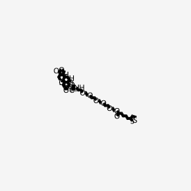 CC(C)[C@]12O[C@H]1[C@H](C)[C@@]13O[C@@]14CCC1=C(COC1=O)[C@@H]4C[C@@H]1O[C@@]13[C@@H]2OC(=O)NCCOCCOCCOCCOCCOCCOC(=O)CCCCC1CCSS1